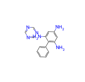 Nc1cc(N)c(-c2ccccc2)c(N)c1.c1ncncn1